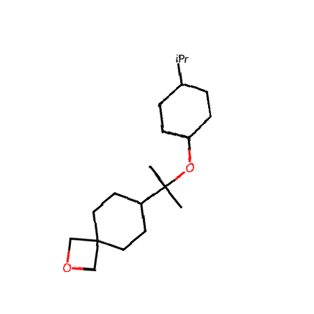 CC(C)C1CCC(OC(C)(C)C2CCC3(CC2)COC3)CC1